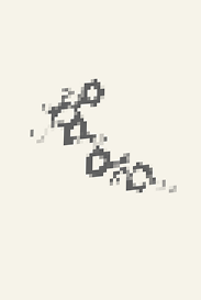 C[C@@H]1C(=O)N(C)c2cnc(Nc3cccc(S(=O)(=O)N4CCN(C)CC4)c3)cc2N1C1CCCC1